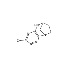 Clc1ncc2c(n1)NC1CCN2C1